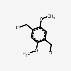 COc1cc(CCl)c(OC)cc1CCl